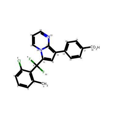 Cc1cccc(Cl)c1C(F)(F)c1cc(-c2ccc(C(=O)O)cc2)c2ncccn12